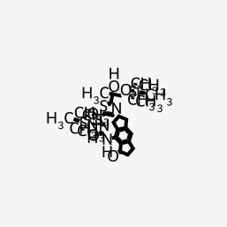 CC(O)(CO[Si](C)(C)C(C)(C)C)c1ncc(S(=O)(=NC(=O)Nc2c3c(cc4c2C(=O)CC4)CCC3)N[Si](C)(C)C(C)(C)C)s1